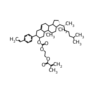 C=Cc1ccc(C2CC3=CCC4C(CC[C@@]5(C)C4CC[C@@H]5[C@H](C)CCCC(C)C)[C@@]3(C)CC2OC(=O)OCCOC(=O)C(=C)C)cc1